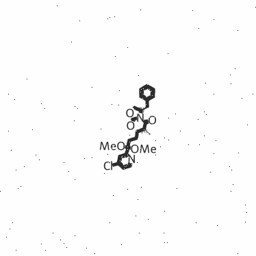 COC(CCC[C@@H](C)C(=O)N1C(=O)OC[C@H]1Cc1ccccc1)(OC)c1cc(Cl)ccn1